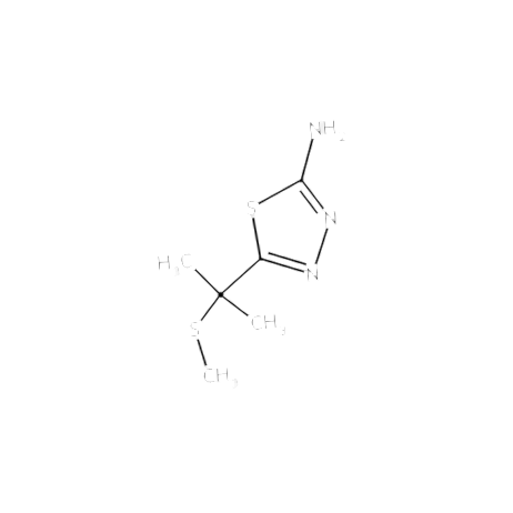 CSC(C)(C)c1nnc(N)s1